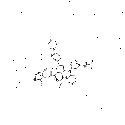 C=CC(=O)Nc1c(C(=O)NCc2c(CCC)cc(C)[nH]c2=O)cc(-c2ccc(N3CCN(C)CC3)nc2)cc1N(C(=O)CC(=O)NN=C(C)C)C1CCOCC1